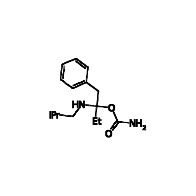 CCC(Cc1ccccc1)(NCC(C)C)OC(N)=O